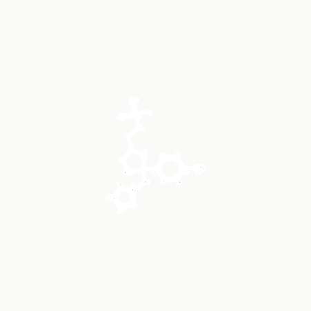 CS(=O)(=O)OCC1COC(Cn2ccnc2)(c2ccc(C#N)cc2)O1